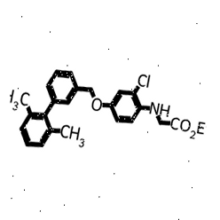 CCOC(=O)CNc1ccc(OCc2cccc(-c3c(C)cccc3C)c2)cc1Cl